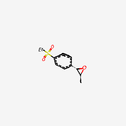 CCS(=O)(=O)c1ccc([C@@H]2O[C@H]2C)cc1